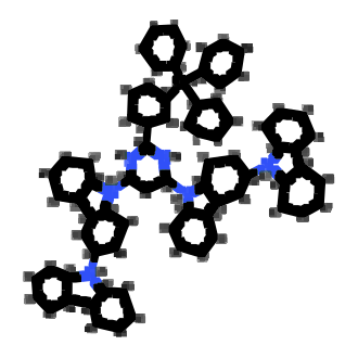 c1ccc([Si](c2ccccc2)(c2ccccc2)c2cccc(-c3nc(-n4c5ccccc5c5cc(-n6c7ccccc7c7ccccc76)ccc54)cc(-n4c5ccccc5c5cc(-n6c7ccccc7c7ccccc76)ccc54)n3)c2)cc1